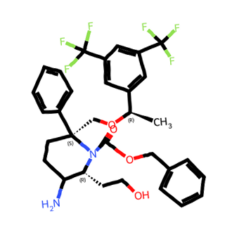 C[C@@H](OC[C@@]1(c2ccccc2)CCC(N)[C@@H](CCO)N1C(=O)OCc1ccccc1)c1cc(C(F)(F)F)cc(C(F)(F)F)c1